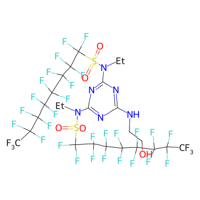 CCN(c1nc(NCCO)nc(N(CC)S(=O)(=O)C(F)(F)C(F)(F)C(F)(F)C(F)(F)C(F)(F)C(F)(F)C(F)(F)C(F)(F)F)n1)S(=O)(=O)C(F)(F)C(F)(F)C(F)(F)C(F)(F)C(F)(F)C(F)(F)C(F)(F)C(F)(F)F